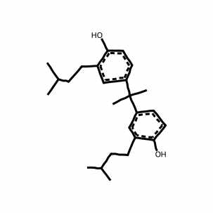 CC(C)CCc1cc(C(C)(C)c2ccc(O)c(CCC(C)C)c2)ccc1O